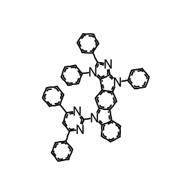 c1ccc(-c2cc(-c3ccccc3)nc(-n3c4ccccc4c4cc5c(cc43)c3c(nc(-c4ccccc4)n3-c3ccccc3)n5-c3ccccc3)n2)cc1